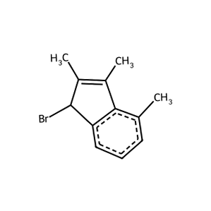 CC1=C(C)C(Br)c2cccc(C)c21